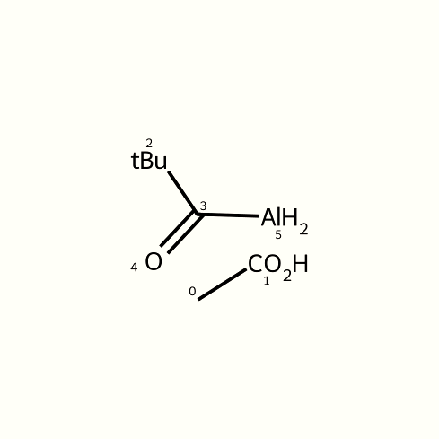 CC(=O)O.CC(C)(C)[C](=O)[AlH2]